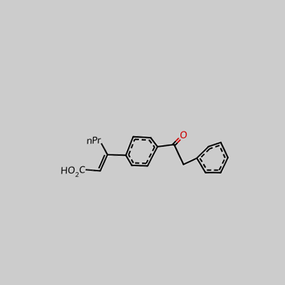 CCCC(=CC(=O)O)c1ccc(C(=O)Cc2ccccc2)cc1